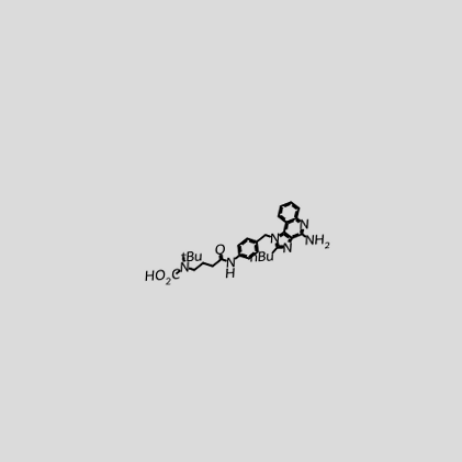 CCCCc1nc2c(N)nc3ccccc3c2n1Cc1ccc(NC(=O)CCCN(C(=O)O)C(C)(C)C)cc1